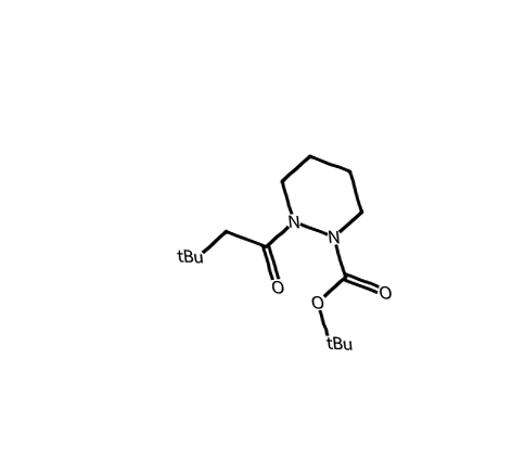 CC(C)(C)CC(=O)N1CCCCN1C(=O)OC(C)(C)C